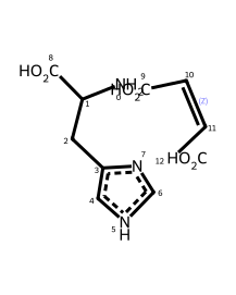 NC(Cc1c[nH]cn1)C(=O)O.O=C(O)/C=C\C(=O)O